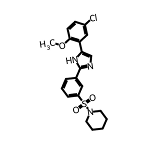 COc1ccc(Cl)cc1-c1cnc(-c2cccc(S(=O)(=O)N3CCCCC3)c2)[nH]1